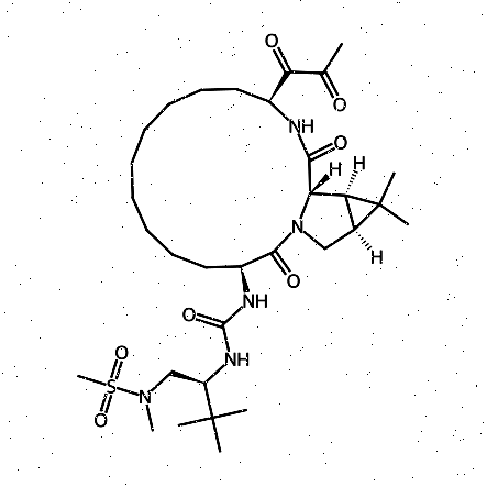 CC(=O)C(=O)[C@@H]1CCCCCCCCC[C@H](NC(=O)N[C@H](CN(C)S(C)(=O)=O)C(C)(C)C)C(=O)N2C[C@H]3[C@@H]([C@H]2C(=O)N1)C3(C)C